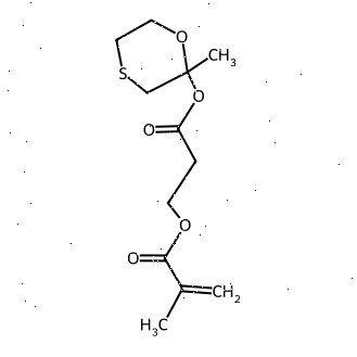 C=C(C)C(=O)OCCC(=O)OC1(C)CSCCO1